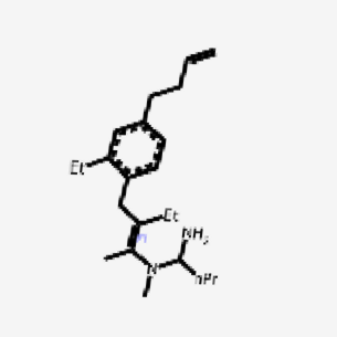 C=CCCc1ccc(C/C(CC)=C(\C)N(C)C(N)CCC)c(CC)c1